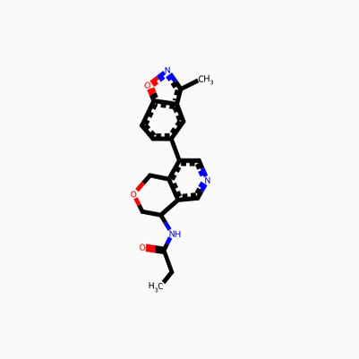 CCC(=O)NC1COCc2c(-c3ccc4onc(C)c4c3)cncc21